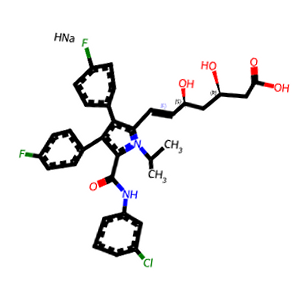 CC(C)n1c(/C=C/[C@@H](O)C[C@@H](O)CC(=O)O)c(-c2ccc(F)cc2)c(-c2ccc(F)cc2)c1C(=O)Nc1cccc(Cl)c1.[NaH]